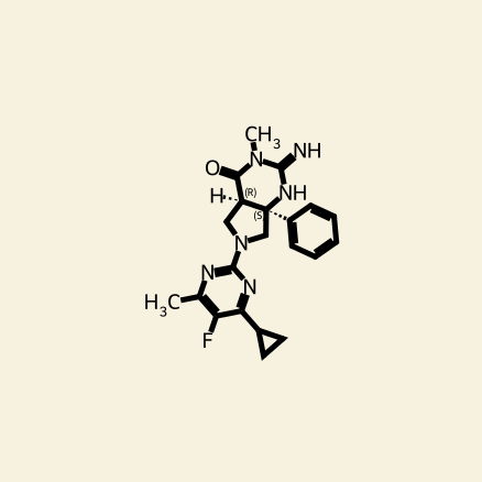 Cc1nc(N2C[C@H]3C(=O)N(C)C(=N)N[C@@]3(c3ccccc3)C2)nc(C2CC2)c1F